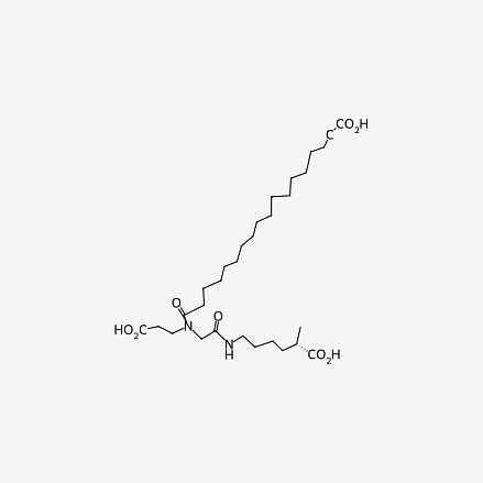 C[C@@H](CCCCNC(=O)CN(CCC(=O)O)C(=O)CCCCCCCCCCCCCCCCC(=O)O)C(=O)O